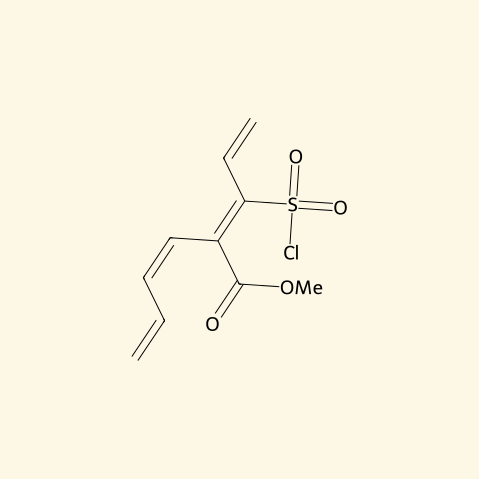 C=C/C=C\C(C(=O)OC)=C(/C=C)S(=O)(=O)Cl